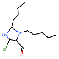 CCCCCN1C(CCCC)NC(Cl)C1C=O